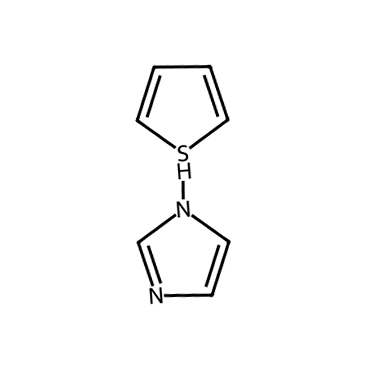 C1=C[SH](n2ccnc2)C=C1